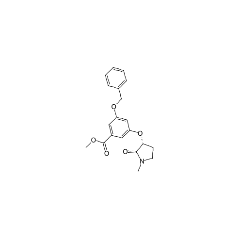 COC(=O)c1cc(OCc2ccccc2)cc(O[C@@H]2CCN(C)C2=O)c1